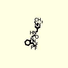 CCn1cc(CNC(=O)Cn2nc(C(F)(F)F)c3c2CCCC3)cn1